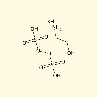 NCCO.O=S(=O)(O)OOS(=O)(=O)O.[KH]